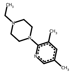 CCN1CCN(c2ncc(C)cc2C)CC1